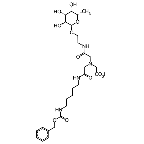 C[C@@H]1O[C@@H](OCCNC(=O)CN(CC(=O)O)CC(=O)NCCCCCNC(=O)OCc2ccccc2)[C@@H](O)[C@H](O)[C@@H]1O